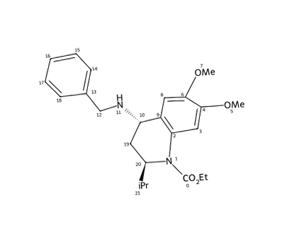 CCOC(=O)N1c2cc(OC)c(OC)cc2[C@@H](NCc2ccccc2)C[C@@H]1C(C)C